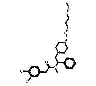 COOCCOOON1CCN(CC(c2ccccc2)N(C)C(=O)Cc2ccc(Cl)c(Cl)c2)CC1